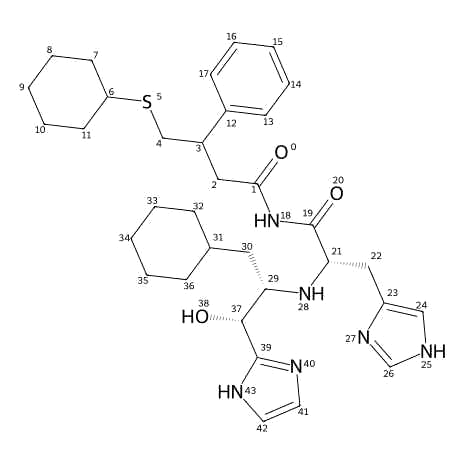 O=C(CC(CSC1CCCCC1)c1ccccc1)NC(=O)[C@H](Cc1c[nH]cn1)N[C@@H](CC1CCCCC1)[C@@H](O)c1ncc[nH]1